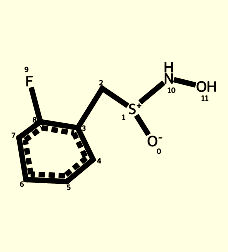 [O-][S+](Cc1ccccc1F)NO